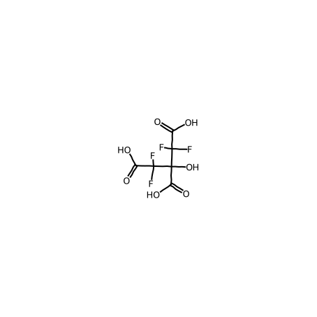 O=C(O)C(F)(F)C(O)(C(=O)O)C(F)(F)C(=O)O